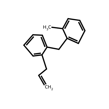 C=CCc1ccccc1Cc1ccccc1C